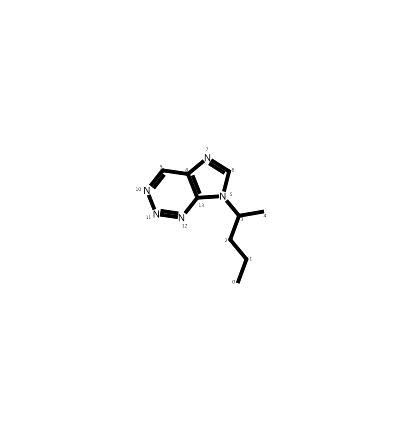 CCCC(C)n1cnc2cnnnc21